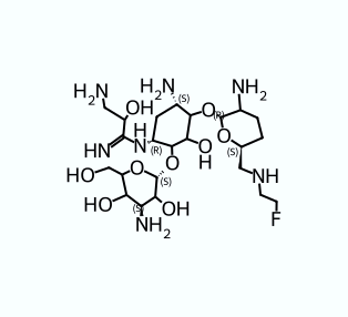 N=C(N[C@@H]1C[C@H](N)C(O[C@H]2O[C@H](CNCCF)CCC2N)C(O)C1O[C@H]1OC(CO)C(O)[C@H](N)C1O)C(O)CN